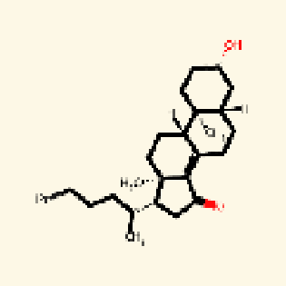 CC(C)CCCC(C)[C@H]1CC(=O)C2=C3CC[C@H]4C[C@@H](O)CC[C@]4(C)[C@H]3CC[C@@]21C